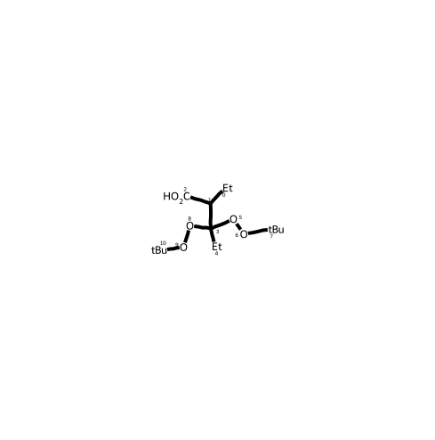 CCC(C(=O)O)C(CC)(OOC(C)(C)C)OOC(C)(C)C